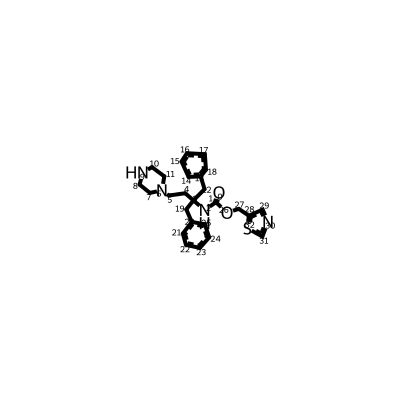 O=C(NC(CCN1CCNCC1)(Cc1ccccc1)Cc1ccccc1)OCc1cncs1